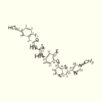 C#Cc1ccc(F)c(CC(=O)NC(=S)Nc2ccc(Oc3ccnc4cc(-c5cn(C)cn5)sc34)c(F)c2)c1